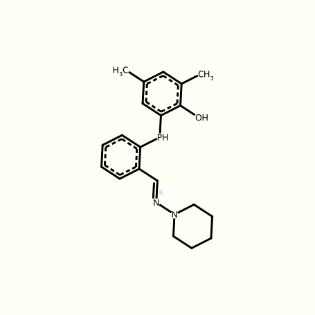 Cc1cc(C)c(O)c(Pc2ccccc2/C=N/N2CCCCC2)c1